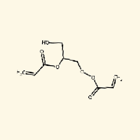 C=CC(=O)OOCC(CO)OC(=O)C=C